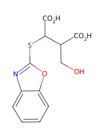 O=C(O)C(CO)C(Sc1nc2ccccc2o1)C(=O)O